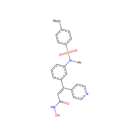 COc1ccc(S(=O)(=O)N(c2cccc(C(=CC(=O)NO)c3ccncc3)c2)C(C)C)cc1